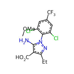 CCc1nn(-c2c(Cl)cc(C(F)(F)F)cc2Cl)c(N)c1C(=O)O.COC